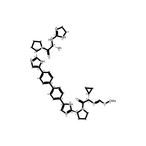 COO/C=N/[C@H](C(=O)N1CCC[C@H]1c1ncc(-c2ccc(-c3ccc(-c4cnc([C@@H]5CCCN5C(=O)[C@H](NC5=NCCN5)C(C)C)[nH]4)cc3)cc2)[nH]1)C1CC1